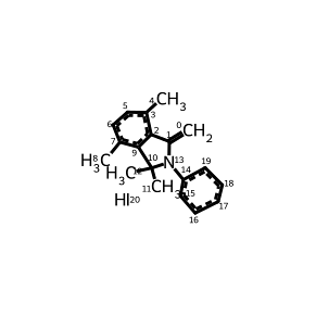 C=C1c2c(C)ccc(C)c2C(C)(C)N1c1ccccc1.I